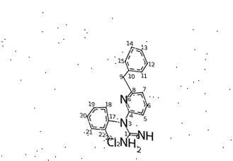 N=C(N)N(c1cccc(Cc2ccccc2)n1)c1ccccc1Cl